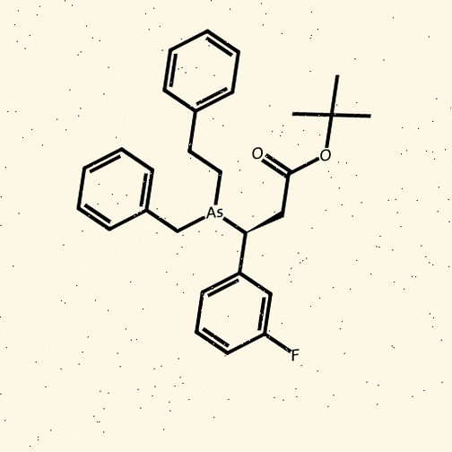 CC(C)(C)OC(=O)C[C@@H](c1cccc(F)c1)[As](CCc1ccccc1)Cc1ccccc1